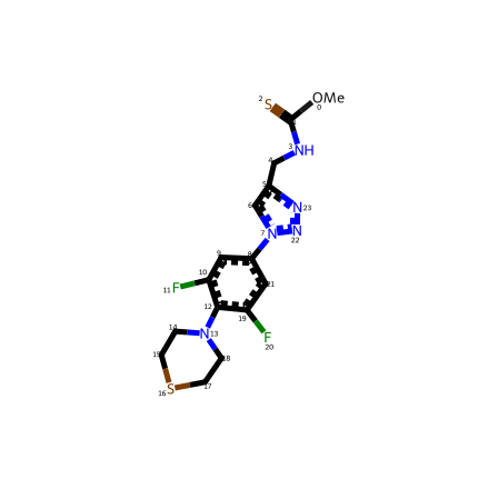 COC(=S)NCc1cn(-c2cc(F)c(N3CCSCC3)c(F)c2)nn1